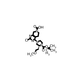 COCC[C@H]1CN(c2nc(Cl)nc3c2CCN(C(=O)O)C3)CCN1C(=O)OC(C)(C)C